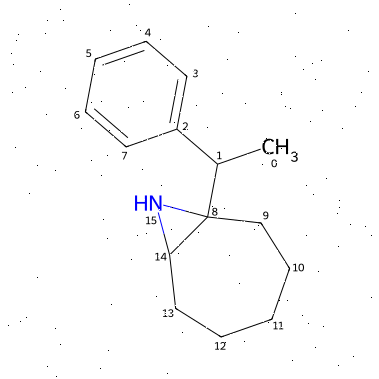 CC(c1ccccc1)C12CCCCCC1N2